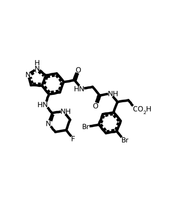 O=C(O)CC(NC(=O)CNC(=O)c1cc(NC2=NCC(F)CN2)c2cn[nH]c2c1)c1cc(Br)cc(Br)c1